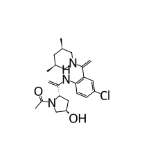 C=C(Nc1ccc(Cl)cc1C(=C)N1C[C@H](C)C[C@H](C)C1)[C@@H]1C[C@@H](O)CN1C(C)=O